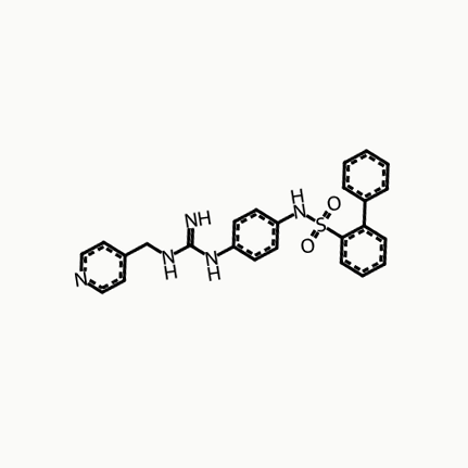 N=C(NCc1ccncc1)Nc1ccc(NS(=O)(=O)c2ccccc2-c2ccccc2)cc1